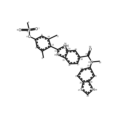 Cc1cc(OS(C)(=O)=O)cc(C)c1-c1nc2ccc(C(=O)N(C)c3ccc4scnc4c3)cc2[nH]1